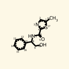 Cc1cnc(C(=O)NC(CO)c2ccccc2)s1